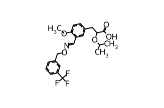 COc1ccc(CC(OC(C)C)C(=O)O)cc1C=NOCc1cccc(C(F)(F)F)c1